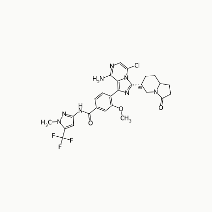 COc1cc(C(=O)Nc2cc(C(F)(F)F)n(C)n2)ccc1-c1nc([C@@H]2CCC3CCC(=O)N3C2)n2c(Cl)cnc(N)c12